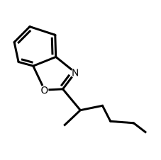 CCCCC(C)c1nc2ccccc2o1